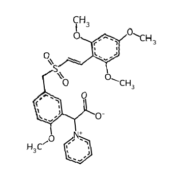 COc1cc(OC)c(C=CS(=O)(=O)Cc2ccc(OC)c(C(C(=O)[O-])[n+]3ccccc3)c2)c(OC)c1